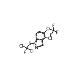 FC(F)(F)Oc1ccc2c(cnn2SC(F)(Cl)Cl)c1Cl